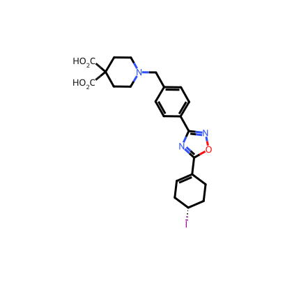 O=C(O)C1(C(=O)O)CCN(Cc2ccc(-c3noc(C4=CC[C@@H](I)CC4)n3)cc2)CC1